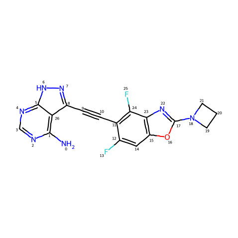 Nc1ncnc2[nH]nc(C#Cc3c(F)cc4oc(N5CCC5)nc4c3F)c12